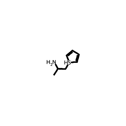 CC(N)C[SH]1C=CC=C1